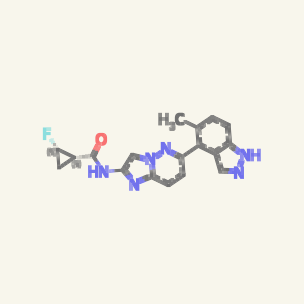 Cc1ccc2[nH]ncc2c1-c1ccc2nc(NC(=O)[C@@H]3C[C@@H]3F)cn2n1